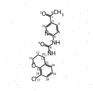 CC(=O)c1ccc(NC(=O)N[C@H]2CCOc3c(Cl)cccc32)nc1